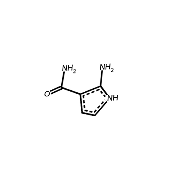 NC(=O)c1cc[nH]c1N